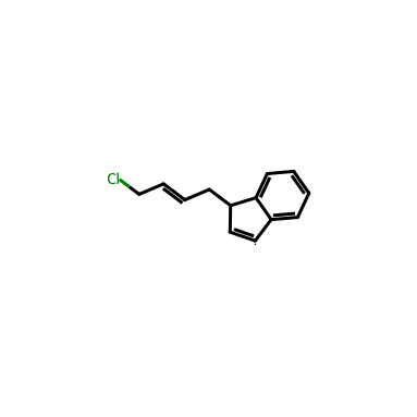 ClC/C=C/CC1C=[C]c2ccccc21